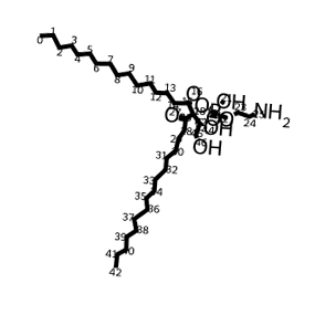 CCCCCCCCCCCCCCCC(=O)C(OP(=O)(O)OCCN)(C(=O)CCCCCCCCCCCCCCC)[C@@H](O)CO